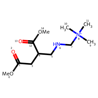 COC(=O)CC(CNC[N+](C)(C)C)C(=O)OC